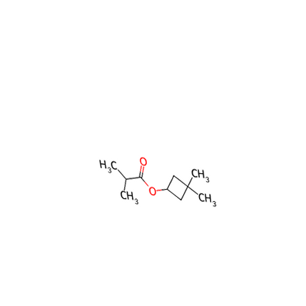 CC(C)C(=O)OC1CC(C)(C)C1